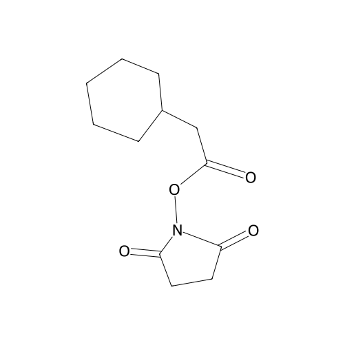 O=C(CC1CCCCC1)ON1C(=O)CCC1=O